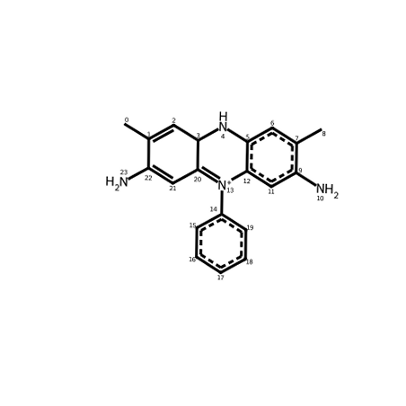 CC1=CC2Nc3cc(C)c(N)cc3[N+](c3ccccc3)=C2C=C1N